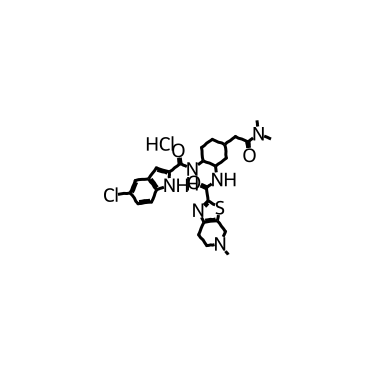 CN1CCc2nc(C(=O)NC3CC(CC(=O)N(C)C)CCC3NC(=O)c3cc4cc(Cl)ccc4[nH]3)sc2C1.Cl